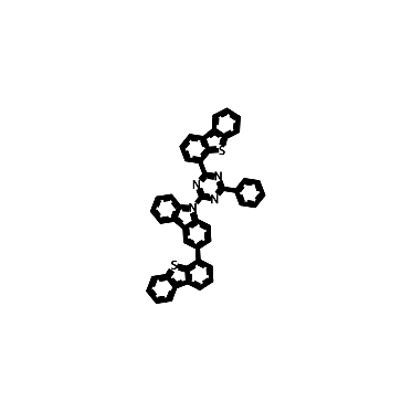 c1ccc(-c2nc(-c3cccc4c3sc3ccccc34)nc(-n3c4ccccc4c4cc(-c5cccc6c5sc5ccccc56)ccc43)n2)cc1